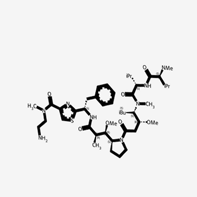 CC[C@H](C)[C@@H]([C@@H](CC(=O)N1CCC[C@H]1[C@H](OC)[C@@H](C)C(=O)N[C@@H](Cc1ccccc1)c1nc(C(=O)N(C)CCN)cs1)OC)N(C)C(=O)[C@@H](NC(=O)[C@@H](NC)C(C)C)C(C)C